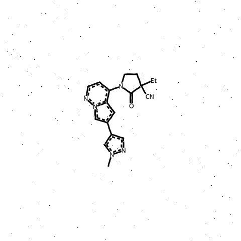 CCC1(C#N)CCN(c2ccnn3cc(-c4cnn(C)c4)cc23)C1=O